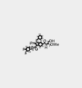 COC[C@@H](CO)NC(=O)c1ccc2c(C(=O)NCc3ccc(F)c(F)c3)c(C(C)C)n(Cc3ccccc3)c2c1